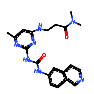 Cc1cc(NCCC(=O)N(C)C)nc(NC(=O)Nc2ccc3cnccc3c2)n1